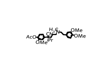 COc1ccc(CCN(C)CCCC(C#N)(c2ccc(OC(C)=O)c(OC)c2)C(C)C)cc1OC